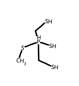 CS[PH](S)(CS)CS